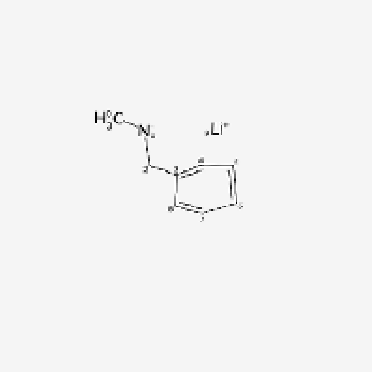 C[N-]Cc1ccccc1.[Li+]